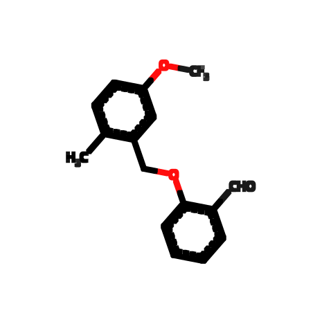 Cc1ccc(OC(F)(F)F)cc1COc1ccccc1C=O